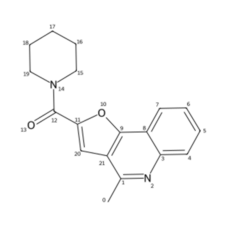 Cc1nc2ccccc2c2oc(C(=O)N3CCCCC3)cc12